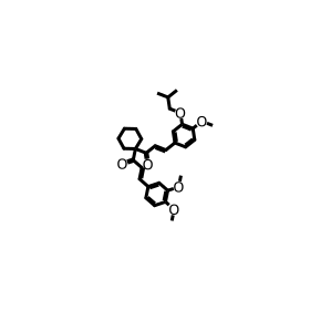 COc1ccc(/C=C/C(=O)C2(C(=O)/C=C/c3ccc(OC)c(OCC(C)C)c3)CCCCC2)cc1OC